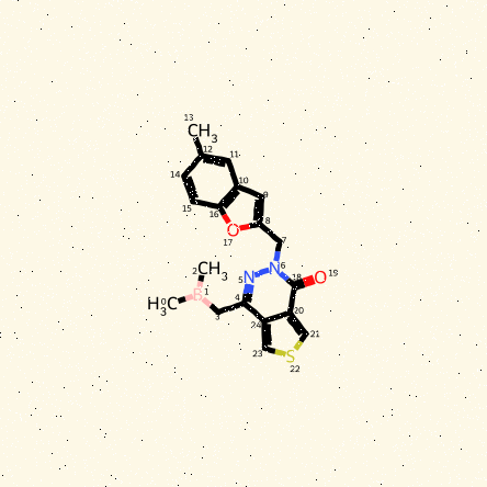 CB(C)Cc1nn(Cc2cc3cc(C)ccc3o2)c(=O)c2cscc12